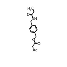 C=CC(=O)NCc1ccc(COC(=O)CC(C)=O)cc1